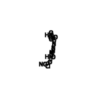 N#Cc1ccc(OC2CCC(NC(=O)c3ccc(N4CCN(C5CCN(c6ccc7c(c6)C(=O)N(C6CCC(=O)NC6=O)C7=O)CC5)CC4)nn3)CC2)cc1Cl